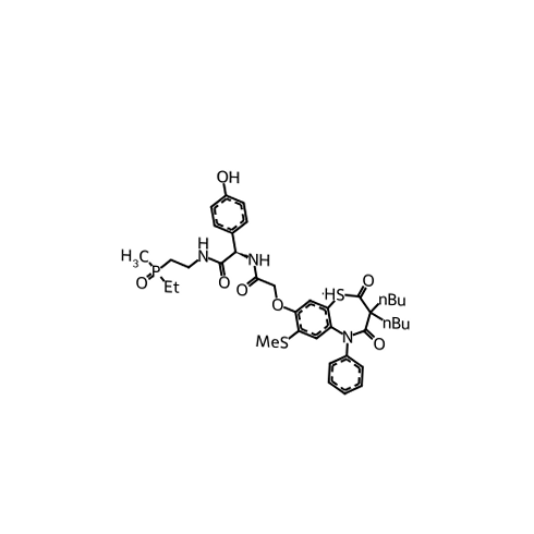 CCCCC1(CCCC)C(=O)[SH]c2cc(OCC(=O)N[C@@H](C(=O)NCCP(C)(=O)CC)c3ccc(O)cc3)c(SC)cc2N(c2ccccc2)C1=O